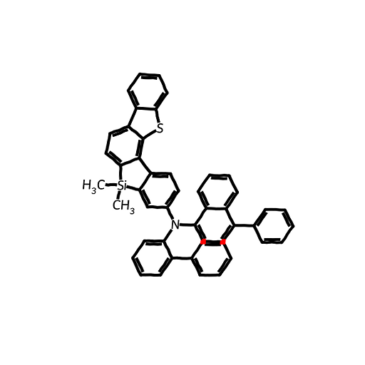 C[Si]1(C)c2cc(N(c3ccccc3-c3ccccc3)c3ccc(-c4ccccc4)c4ccccc34)ccc2-c2c1ccc1c2sc2ccccc21